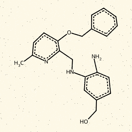 Cc1ccc(OCc2ccccc2)c(CNc2cc(CO)ccc2N)n1